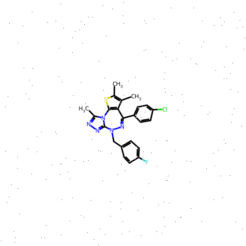 Cc1sc2c(c1C)C(c1ccc(Cl)cc1)=NN(Cc1ccc(F)cc1)c1nnc(C)n1-2